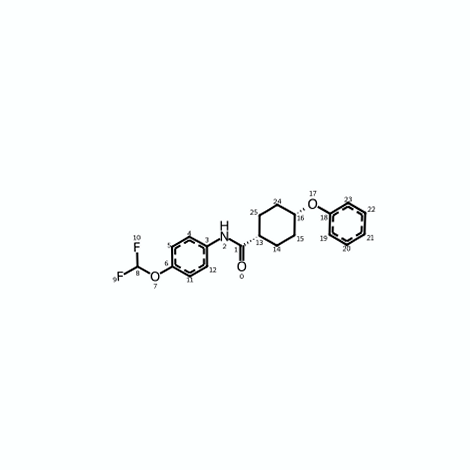 O=C(Nc1ccc(OC(F)F)cc1)[C@H]1CC[C@@H](Oc2ccccc2)CC1